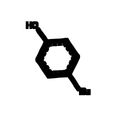 [CH2]CC(C)c1ccc(O)cc1